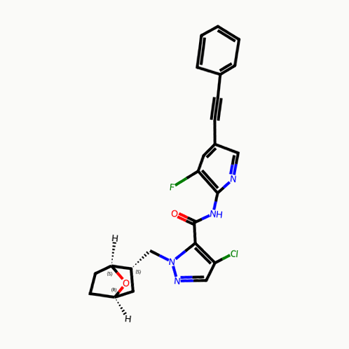 O=C(Nc1ncc(C#Cc2ccccc2)cc1F)c1c(Cl)cnn1C[C@@H]1C[C@H]2CC[C@@H]1O2